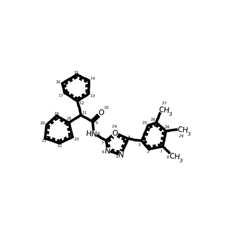 Cc1cc(-c2nnc(NC(=O)C(c3ccccc3)c3ccccc3)o2)cc(C)c1C